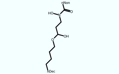 CCCCCCCCCCCCCCOC(O)CCN(O)C(=O)CCCCCCCCC